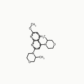 COc1ccc2c(N3CCOCC3C)cc(N3CCOCC3C)nc2n1